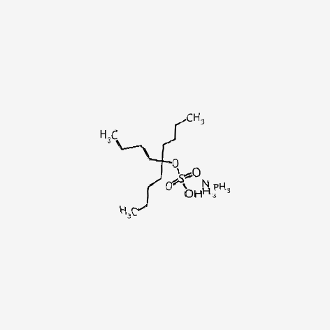 CCCCC(CCCC)(CCCC)OS(=O)(=O)O.N.P